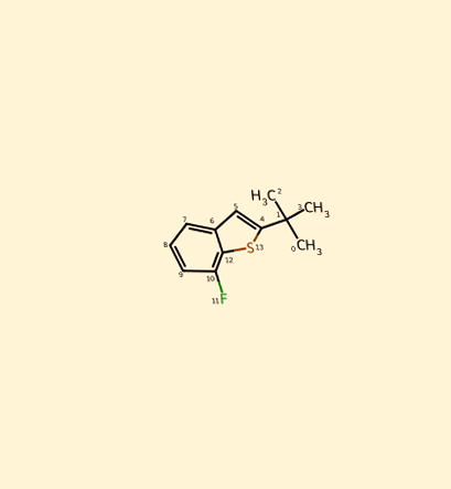 CC(C)(C)c1cc2cccc(F)c2s1